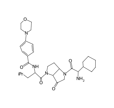 CC(C)CC(NC(=O)c1ccc(N2CCOCC2)cc1)C(=O)N1CCC2C1C(=O)CN2C(=O)C(N)C1CCCCC1